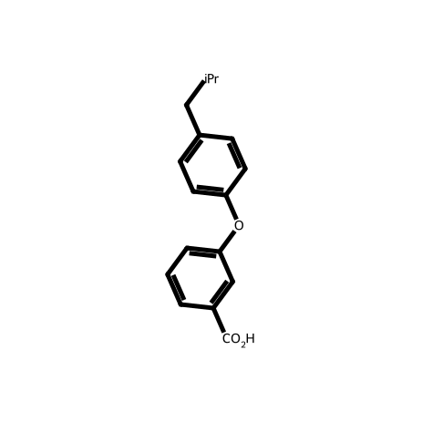 CC(C)Cc1ccc(Oc2cccc(C(=O)O)c2)cc1